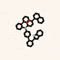 c1ccc(-c2ccccc2N(c2ccc(-c3ccccc3-c3cc4ccccc4o3)cc2)c2ccc(-c3cccc4ccccc34)cc2)cc1